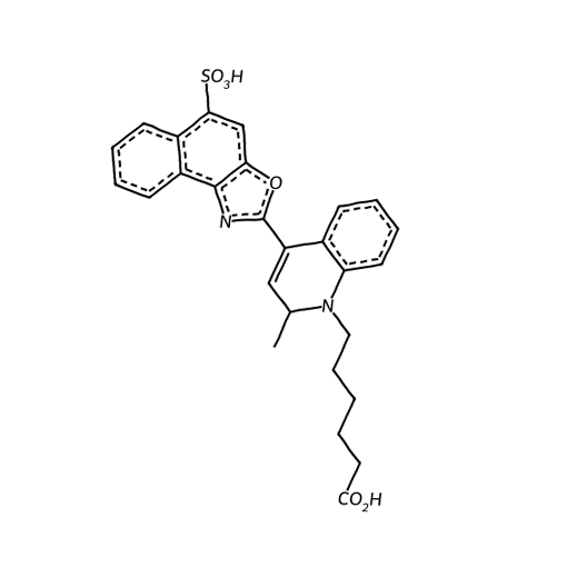 CC1C=C(c2nc3c(cc(S(=O)(=O)O)c4ccccc43)o2)c2ccccc2N1CCCCCC(=O)O